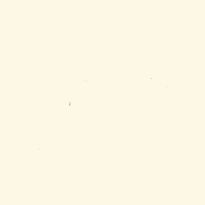 CC(C)c1nc2c(c(-c3ccc(F)cc3)c1C(F)c1ccc(C(F)(F)F)cc1)C(O[SiH2]C(C)(C)C)CCC2